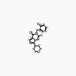 Cc1nn2c(C3CCOCC3)ncc2c(=O)n1Cc1ccccc1F